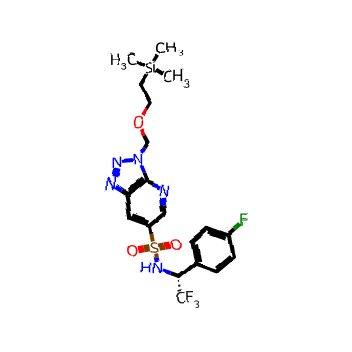 C[Si](C)(C)CCOCn1nnc2cc(S(=O)(=O)N[C@H](c3ccc(F)cc3)C(F)(F)F)cnc21